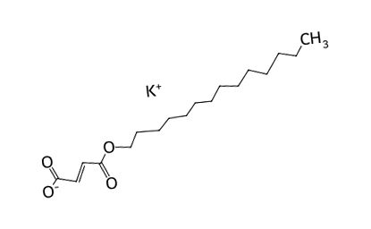 CCCCCCCCCCCCCCOC(=O)C=CC(=O)[O-].[K+]